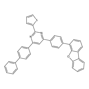 c1ccc(-c2ccc(-c3cc(-c4ccc(-c5cccc6c5oc5ccccc56)cc4)nc(-c4cccs4)n3)cc2)cc1